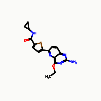 CCOc1nc(N)nc2ccc(-c3ccc(C(=O)NC4CC4)s3)nc12